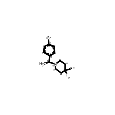 CC(c1ccc(Br)cc1)N1CCC(F)(F)CC1